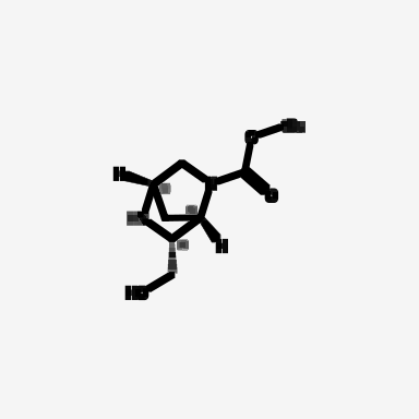 CC(C)(C)OC(=O)N1C[C@@H]2C[C@H]1[C@H](CO)N2